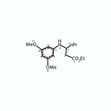 CCCC(CC(=O)OCC)Nc1cc(OC)cc(OC)c1